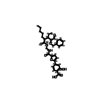 CCCCCC(C(=O)NCNC(=O)c1ccc(-c2ccc(C(=O)O)c(O)c2)o1)C(CC)N(C=O)OCc1ccccc1